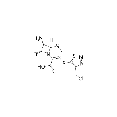 N[C@@H]1C(=O)N2C(C(=O)O)=C(Sc3snnc3CCl)CS[C@H]12